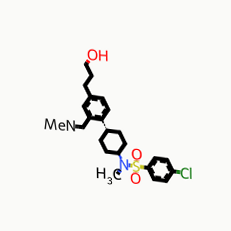 CNCc1cc(CCCO)ccc1[C@H]1CC[C@H](N(C)S(=O)(=O)c2ccc(Cl)cc2)CC1